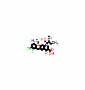 CCOc1cc2c(cc1Cc1cccc(Cl)c1F)c(=O)c(C(=O)O)cn2[C@H](CO)[C@@H](C)CC